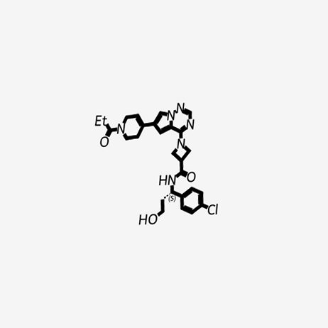 CCC(=O)N1CC=C(c2cc3c(N4CC(C(=O)N[C@@H](CCO)c5ccc(Cl)cc5)C4)ncnn3c2)CC1